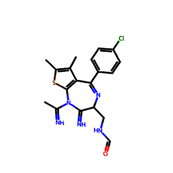 CC(=N)N1C(=N)C(CNC=O)N=C(c2ccc(Cl)cc2)c2c1sc(C)c2C